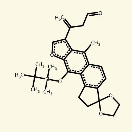 C=C(CC=O)c1coc2c(O[Si](C)(C)C(C)(C)C)c3c4c(ccc3c(C)c12)C1(CC4)OCCO1